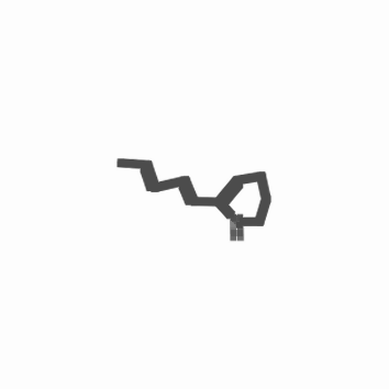 CC=CC=CC1=CCCCN1